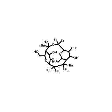 CCCCC1(C)OC(CC)(CC)C2OC(CO)C(C(O)C2O)C(C)(CCCC)OC(C)(C)C2OC(CO)C1C(O)C2O